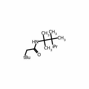 CC(C)C(C)(C)C(C)(C)NC(=O)CC(C)(C)C